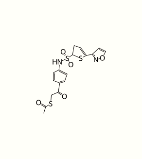 CC(=O)SCC(=O)c1ccc(NS(=O)(=O)C2CC=C(c3ccon3)S2)cc1